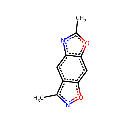 Cc1nc2cc3c(C)noc3cc2o1